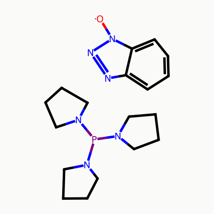 C1CCN(P(N2CCCC2)N2CCCC2)C1.[O]n1nnc2ccccc21